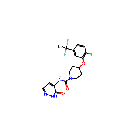 CCC(F)(F)c1ccc(Cl)c(OC2CCN(C(=O)Nc3ccn[nH]c3=O)CC2)c1